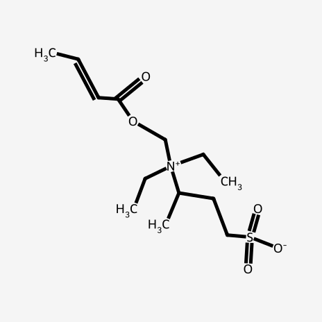 CC=CC(=O)OC[N+](CC)(CC)C(C)CCS(=O)(=O)[O-]